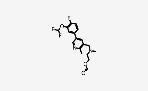 Cc1ncc(-c2ccc(F)c(OC(F)F)c2)cc1CN(C)CCOC=O